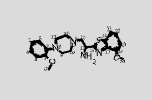 COc1ccccc1N1CCN(CC(N)c2nc3c(OC)cccc3s2)CC1